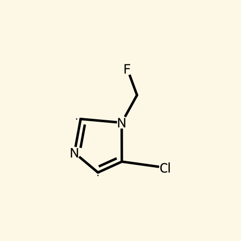 FCn1[c]n[c]c1Cl